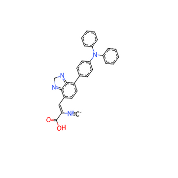 [C-]#[N+]/C(=C\c1ccc(-c2ccc(N(c3ccccc3)c3ccccc3)cc2)c2c1=NCN=2)C(=O)O